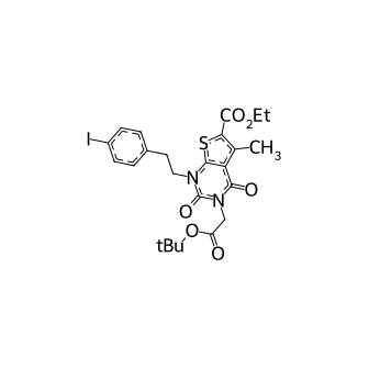 CCOC(=O)c1sc2c(c1C)c(=O)n(CC(=O)OC(C)(C)C)c(=O)n2CCc1ccc(I)cc1